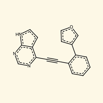 C(#Cc1ncnc2[nH]ccc12)c1ccccc1-c1ccoc1